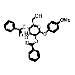 COc1ccc(O[C@@H]2O[C@H](CO)[C@@H](OC(=O)c3ccccc3)[C@H](O)[C@H]2OC(=O)c2ccccc2)cc1